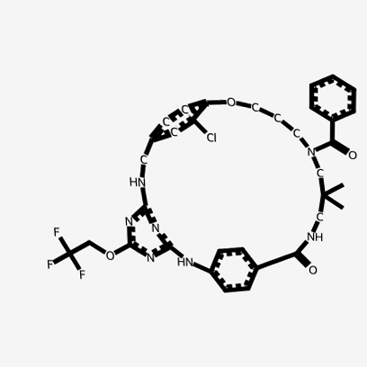 CC1(C)CNC(=O)c2ccc(cc2)Nc2nc(nc(OCC(F)(F)F)n2)NCc2ccc(c(Cl)c2)OCCCN(C(=O)c2ccccc2)C1